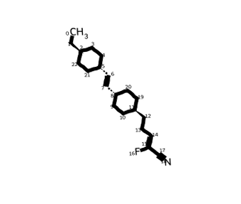 CC[C@H]1CC[C@H](C=C[C@H]2CC[C@H](CCC=C(F)C#N)CC2)CC1